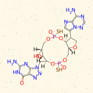 Nc1nc2c(nnn2C2S[C@@H]3COP(=O)(S)O[C@H]4C(c5cnc6c(N)ncnn56)CO[C@@H]4COP(=O)(S)O[C@@H]2[C@@H]3O)c(=O)[nH]1